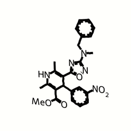 COC(=O)C1=C(C)NC(C)=C(c2nc(N(C)Cc3ccccc3)no2)C1c1cccc([N+](=O)[O-])c1